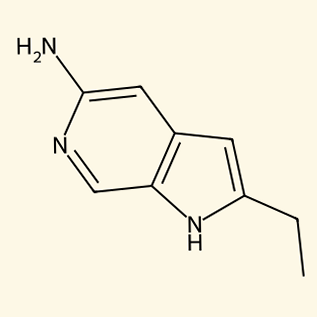 CCc1cc2cc(N)ncc2[nH]1